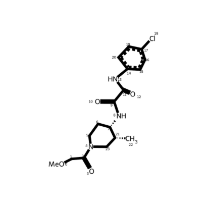 COCC(=O)N1CC[C@H](NC(=O)C(=O)Nc2ccc(Cl)cc2)[C@H](C)C1